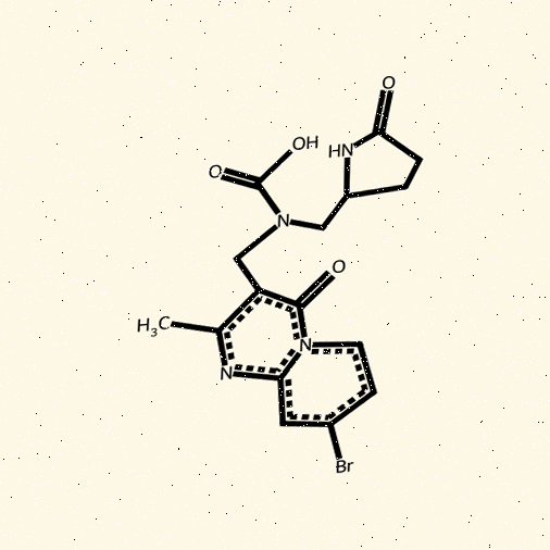 Cc1nc2cc(Br)ccn2c(=O)c1CN(CC1CCC(=O)N1)C(=O)O